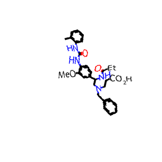 CCC(=O)NC(CN(CCC(=O)O)Cc1ccccc1)c1ccc(NC(=O)Nc2ccccc2C)c(OC)c1